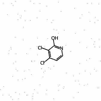 Oc1nccc(Cl)c1Cl